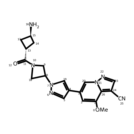 COc1cc(-c2cnn(C3CN(C(=O)[C@H]4C[C@H](N)C4)C3)c2)cn2ncc(C#N)c12